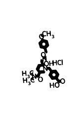 COc1ccc(CON=CC2(O)C=CC(C(=O)N(C)C)=CN2Cc2ccc(C(=O)O)cc2)cc1.Cl